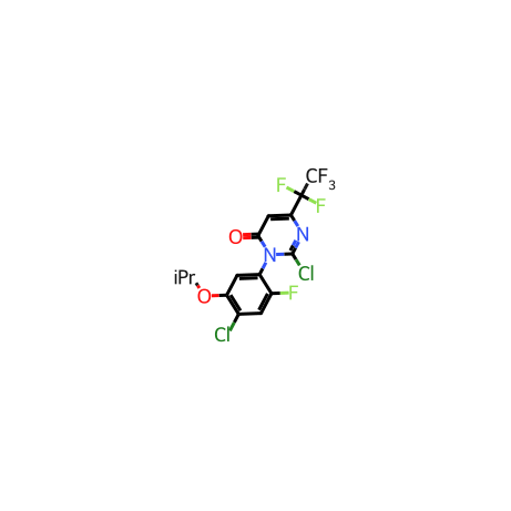 CC(C)Oc1cc(-n2c(Cl)nc(C(F)(F)C(F)(F)F)cc2=O)c(F)cc1Cl